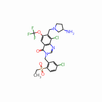 CCS(=O)(=O)c1ccc(Cl)cc1Cn1cnc2c(Cl)c(CN3CC[C@@H](N)C3)c(OC(F)(F)F)cc2c1=O